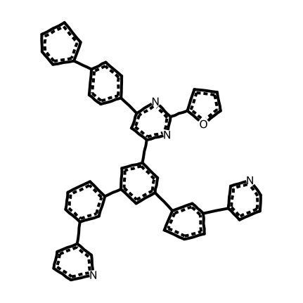 c1ccc(-c2ccc(-c3cc(-c4cc(-c5cccc(-c6cccnc6)c5)cc(-c5cccc(-c6cccnc6)c5)c4)nc(-c4ccco4)n3)cc2)cc1